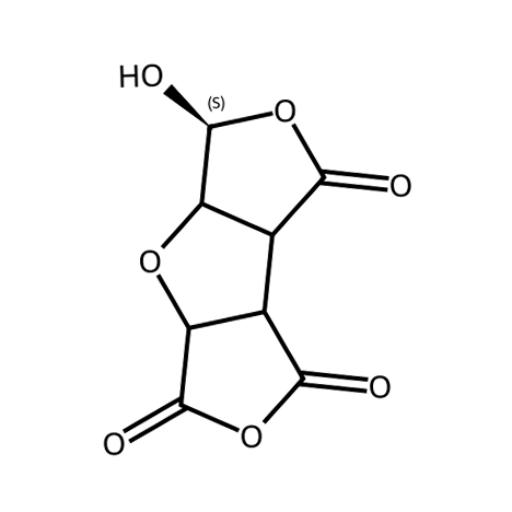 O=C1OC(=O)C2C1OC1C2C(=O)O[C@@H]1O